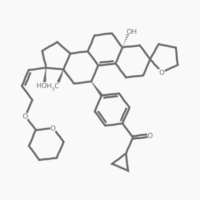 C[C@]12C[C@H](c3ccc(C(=O)C4CC4)cc3)C3=C4CCC5(CCCO5)C[C@]4(O)CCC3C1CC[C@@]2(O)/C=C\COC1CCCCO1